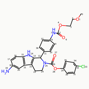 COCCOC(=O)Nc1ccc(C2c3[nH]c4ccc(N)cc4c3CCN2C(=O)Oc2ccc(Cl)cc2)cc1